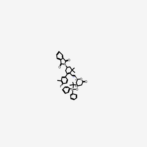 Cc1cc(C2=C(/C=C/[C@@H]3C[C@@H](O[Si](c4ccccc4)(c4ccccc4)C(C)(C)C)CC(=O)O3)C(C)(C)CC(N3C(=O)c4ccccc4C3=O)C2)ccc1F